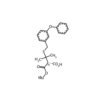 CC(C)(C)OC(=O)[C@@H](C(=O)O)C(C)(C)SCc1cccc(Oc2ccccc2)c1